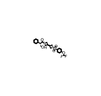 O=C([C@H](CO)c1ccccc1)N1CC(=C2CN(S(=O)(=O)c3ccc(OC(F)F)cc3)C2)C1